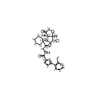 Cc1ncccc1-c1ccc(C(=O)NCC(=O)C2(N3C[C@H](Cl)[C@H]4OCC(=O)[C@H]43)CCCCC2)s1